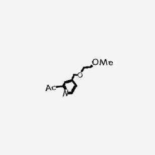 COCCOCc1ccnc(C(C)=O)c1